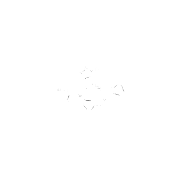 CC[C@@H]1CN(Cc2cc([C@@H](OCc3cn(CC)nn3)C(C)(C)C(=O)OC)ccc2C)Cc2ccccc2O1